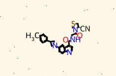 Cc1ccc(C2CN(c3ccc4nccc(C(=O)NCC(=O)N5CSC[C@H]5C#N)c4c3)C2)cc1